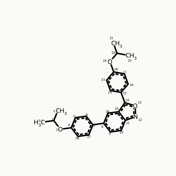 CC(C)Oc1ccc(-c2ccc3noc(-c4ccc(OC(C)C)cc4)c3c2)cc1